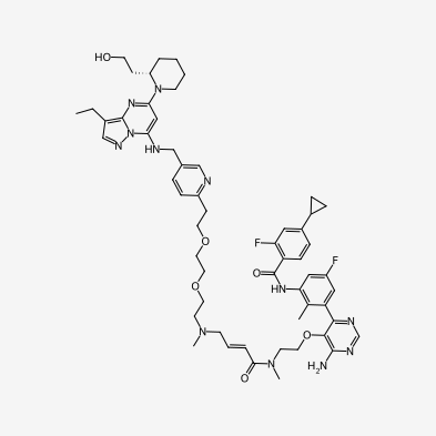 CCc1cnn2c(NCc3ccc(CCOCCOCCN(C)C/C=C/C(=O)N(C)CCOc4c(N)ncnc4-c4cc(F)cc(NC(=O)c5ccc(C6CC6)cc5F)c4C)nc3)cc(N3CCCC[C@H]3CCO)nc12